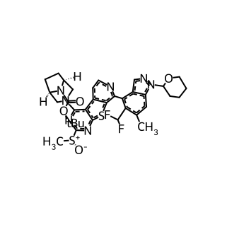 Cc1cc2c(cnn2C2CCCCO2)c(-c2nccc3c2sc2nc([S+](C)[O-])nc(N4C[C@H]5CC[C@@H](C4)N5C(=O)OC(C)(C)C)c23)c1C(F)F